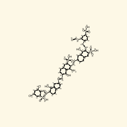 Nc1c(N=Nc2ccc3cc(S(=O)(=O)O)c(N=Nc4ccc(S(=O)(=O)O)cc4OC=O)c(O)c3c2)c(S(=O)(=O)O)cc2ccc(N=Nc3ccc4ccc(N=Nc5c(Cl)cc(Cl)cc5S(=O)(=O)O)c(O)c4c3)c(O)c12